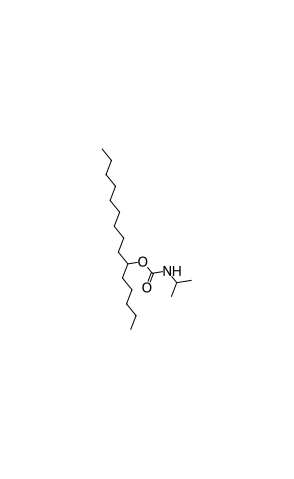 CCCCCCCCCC(CCCCC)OC(=O)NC(C)C